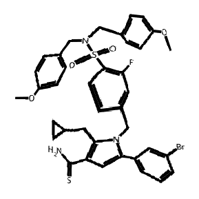 COc1ccc(CN(Cc2ccc(OC)cc2)S(=O)(=O)c2ccc(Cn3c(-c4cccc(Br)c4)cc(C(N)=S)c3CC3CC3)cc2F)cc1